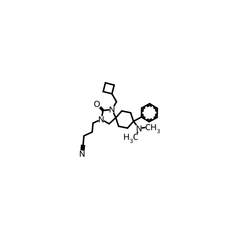 CN(C)C1(c2ccccc2)CCC2(CC1)CN(CCCC#N)C(=O)N2CC1CCC1